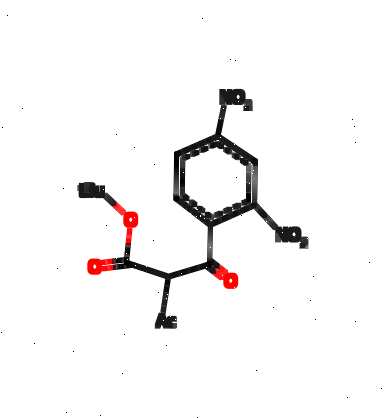 CC(=O)C(C(=O)OC(C)(C)C)C(=O)c1ccc([N+](=O)[O-])cc1[N+](=O)[O-]